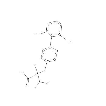 Cc1cncc(C)c1-c1ccc(CC(F)(C(=O)O)C(F)F)cc1